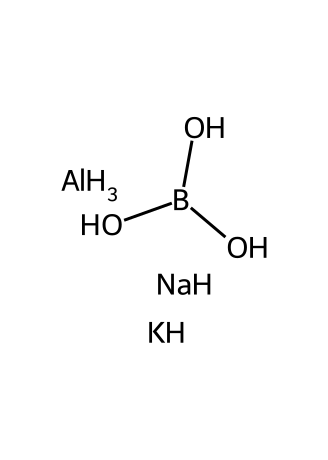 OB(O)O.[AlH3].[KH].[NaH]